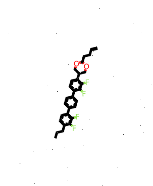 C=CCCC1OCC(c2ccc(-c3ccc(-c4ccc(CCC)c(F)c4F)cc3)c(F)c2F)CO1